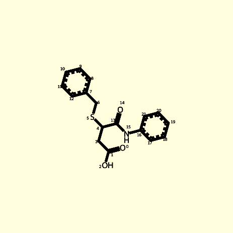 O=C(O)CC(SCc1ccccc1)C(=O)Nc1ccccc1